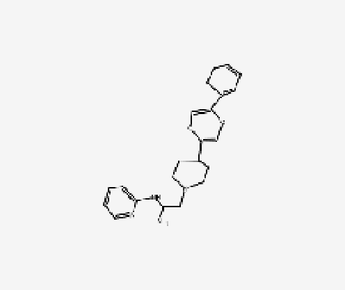 CC(CN1CCC(C2=COC(C3=CC=CCC3)=CO2)CC1)Nc1ccccn1